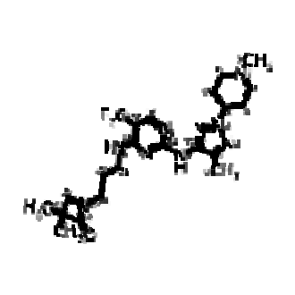 Cc1nn(C2CCN(C)CC2)nc1Nc1ncc(C(F)(F)F)c(NCCCN2CC(C)(C)C2=O)n1